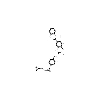 CN(Cc1ccc(C(=O)Nc2ccccc2N)cc1)C(=O)OCc1ccc([C@H]2CC2NCC2CC2)cc1